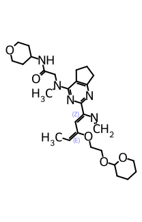 C=N/C(=C\C(=C/C)OCCOC1CCCCO1)c1nc2c(c(N(C)CC(=O)NC3CCOCC3)n1)CCC2